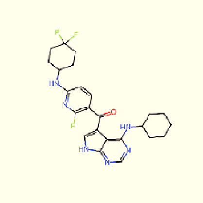 O=C(c1ccc(NC2CCC(F)(F)CC2)nc1F)c1c[nH]c2ncnc(NC3CCCCC3)c12